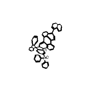 CCC1c2cccc3c2c(c2cccc4c(-c5cccc6ccccc56)ccc3c42)=CC1C1(c2ccc(P(=O)(c3ccccc3)c3ccccc3)cc2)c2ccccc2-c2ccccc21